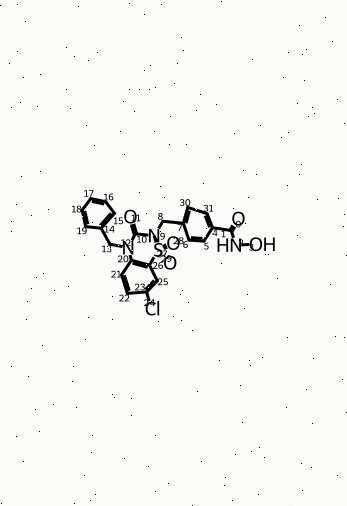 O=C(NO)c1ccc(CN2C(=O)N(Cc3ccccc3)c3ccc(Cl)cc3S2(=O)=O)cc1